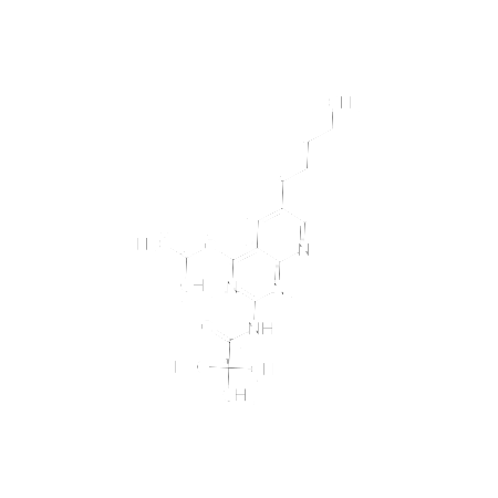 CCCCCc1cnc2nc(NC(=O)C(C)(C)C)nc(OC(C)C)c2c1